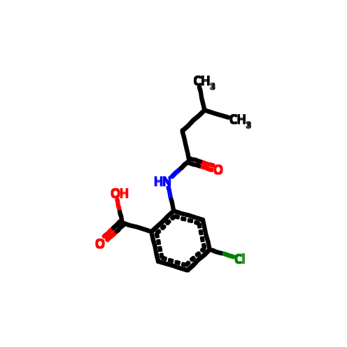 CC(C)CC(=O)Nc1cc(Cl)ccc1C(=O)O